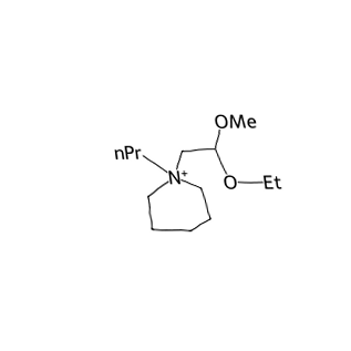 CCC[N+]1(CC(OC)OCC)CCCCC1